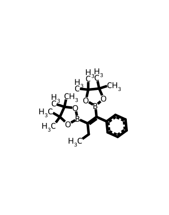 CCC(B1OC(C)(C)C(C)(C)O1)=C(B1OC(C)(C)C(C)(C)O1)c1ccccc1